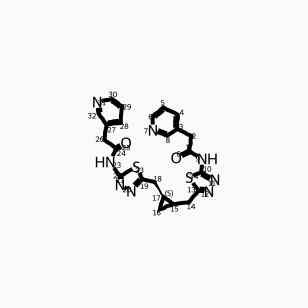 O=C(Cc1cccnc1)Nc1nnc(CC2C[C@H]2Cc2nnc(NC(=O)Cc3cccnc3)s2)s1